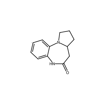 O=C1CC2CCCN2c2c[c]ccc2N1